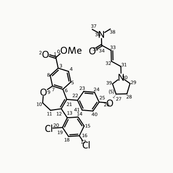 COC(=O)c1ccc2c(c1)OCCC(c1ccc(Cl)cc1Cl)=C2c1ccc(O[C@H]2CCN(CC=CC(=O)N(C)C)C2)cc1